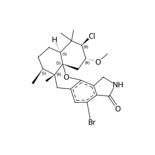 CO[C@@H]1C[C@@]23Oc4c(cc(Br)c5c4CNC5=O)C[C@]2(C)[C@@H](C)CC[C@H]3C(C)(C)[C@H]1Cl